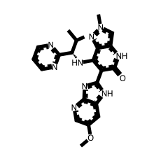 COc1cnc2nc(-c3c(N[C@H](c4ncccn4)C(C)C)c4nn(C)cc4[nH]c3=O)[nH]c2c1